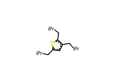 CC(C)Cc1cc(CC(C)C)c(CC(C)C)s1